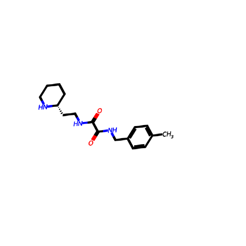 Cc1ccc(CNC(=O)C(=O)NCC[C@H]2CCCCN2)cc1